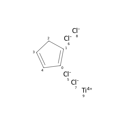 C1=CCC=C1.[Cl-].[Cl-].[Cl-].[Cl-].[Ti+4]